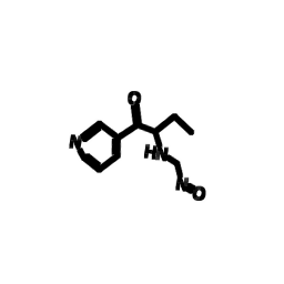 CCC(NCN=O)C(=O)c1cccnc1